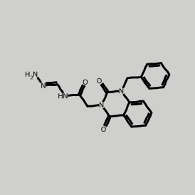 NN=CNC(=O)Cn1c(=O)c2ccccc2n(Cc2ccccc2)c1=O